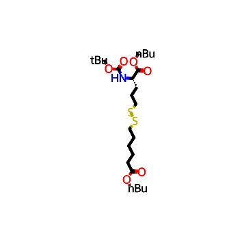 CCCCOC(=O)CCCCCSSCCC[C@H](NC(=O)OC(C)(C)C)C(=O)OCCCC